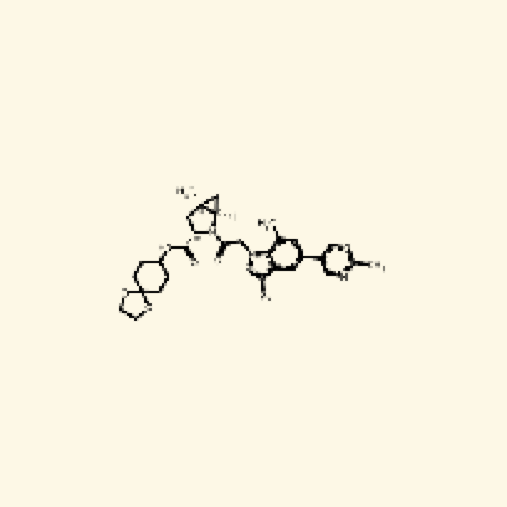 CC(=O)c1nn(CC(=O)N2[C@H](C(=O)NC3CCC4(CC3)OCCO4)C[C@@]3(C)C[C@@H]23)c2c(C)cc(-c3cnc(C)nc3)cc12